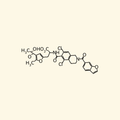 Cc1oc(CC(NC(=O)c2c(Cl)cc3c(c2Cl)CCN(C(=O)c2ccc4ccoc4c2)C3)C(=O)O)cc1S(C)(=O)=O